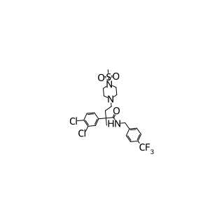 CC(CCN1CCN(S(C)(=O)=O)CC1)(C(=O)NCc1ccc(C(F)(F)F)cc1)c1ccc(Cl)c(Cl)c1